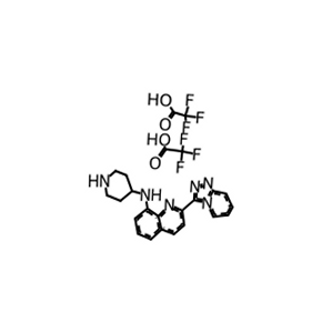 O=C(O)C(F)(F)F.O=C(O)C(F)(F)F.c1cc(NC2CCNCC2)c2nc(-c3nnc4ccccn34)ccc2c1